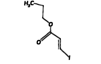 CCCOC(=O)C=CI